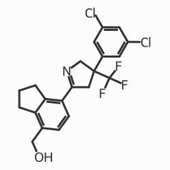 OCc1ccc(C2=NCC(c3cc(Cl)cc(Cl)c3)(C(F)(F)F)C2)c2c1CCC2